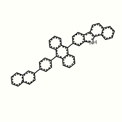 c1ccc2cc(-c3ccc(-c4c5ccccc5c(-c5ccc6c(c5)[nH]c5c7ccccc7ccc65)c5ccccc45)cc3)ccc2c1